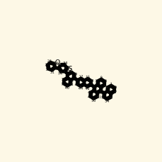 c1ccc2c(-c3c4ccccc4c(-c4ccc5cc(-c6cc7sc8cc9oc%10ccccc%10c9cc8c7c7ccccc67)ccc5c4)c4ccccc34)cccc2c1